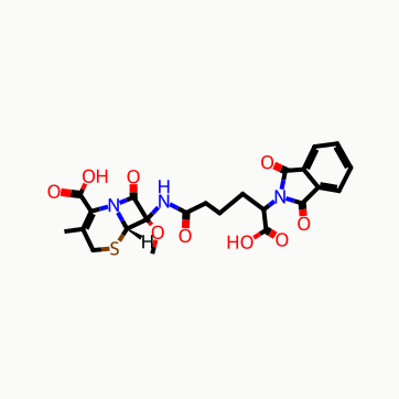 COC1(NC(=O)CCCC(C(=O)O)N2C(=O)c3ccccc3C2=O)C(=O)N2C(C(=O)O)=C(C)CS[C@H]21